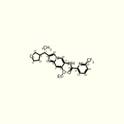 CCOc1cc2nc([C@@H](C)C3CCOC3)cn2cc1NC(=O)c1cccc(C(F)(F)F)n1